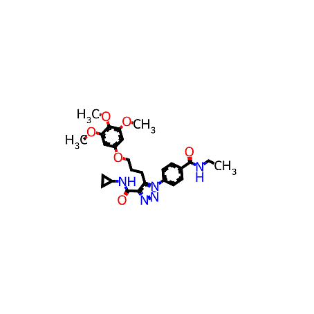 CCNC(=O)c1ccc(-n2nnc(C(=O)NC3CC3)c2CCCOc2cc(OC)c(OC)c(OC)c2)cc1